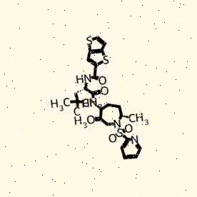 C[C@@H]1CC[C@H](NC(=O)[C@H](CC(C)(C)C)NC(=O)c2cc3sccc3s2)C(=O)CN1S(=O)(=O)c1ccccn1